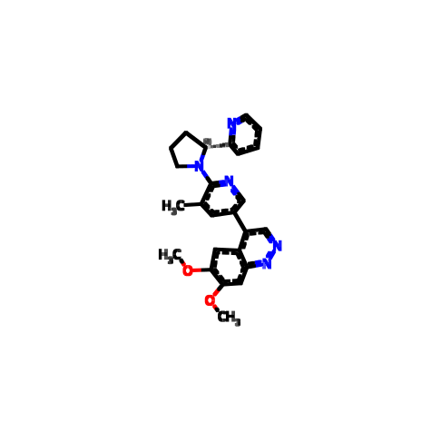 COc1cc2nncc(-c3cnc(N4CCC[C@@H]4c4ccccn4)c(C)c3)c2cc1OC